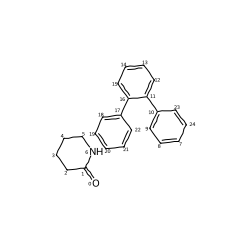 O=C1CCCCN1.c1ccc(-c2ccccc2-c2ccccc2)cc1